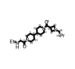 CCNCC(=O)N1CCC(C2CCN(C(=O)C3CN(CC(C)C)C3)CC2)CC1